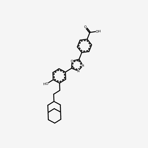 O=C(O)c1ccc(-c2nnc(-c3ccc(O)c(CCC4CC5CCCC(C5)C4)c3)o2)cc1